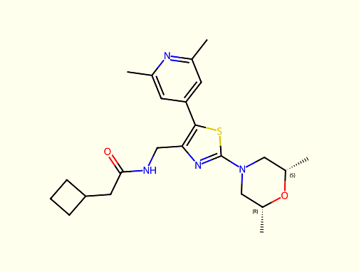 Cc1cc(-c2sc(N3C[C@@H](C)O[C@@H](C)C3)nc2CNC(=O)CC2CCC2)cc(C)n1